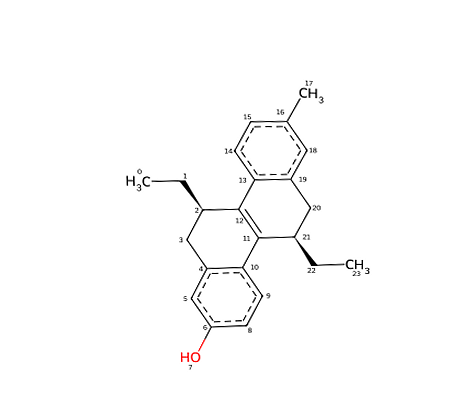 CC[C@@H]1Cc2cc(O)ccc2C2=C1c1ccc(C)cc1C[C@H]2CC